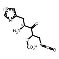 N[C@@H](Cc1c[nH]cn1)C(=O)C(CN=C=O)OC(=O)O